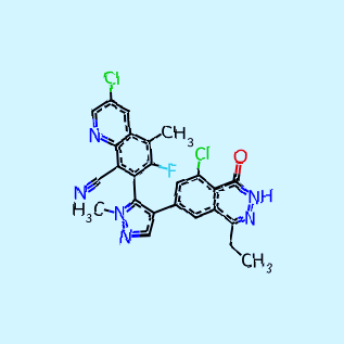 CCc1n[nH]c(=O)c2c(Cl)cc(-c3cnn(C)c3-c3c(F)c(C)c4cc(Cl)cnc4c3C#N)cc12